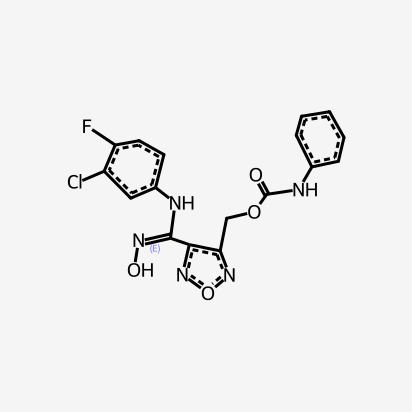 O=C(Nc1ccccc1)OCc1nonc1/C(=N\O)Nc1ccc(F)c(Cl)c1